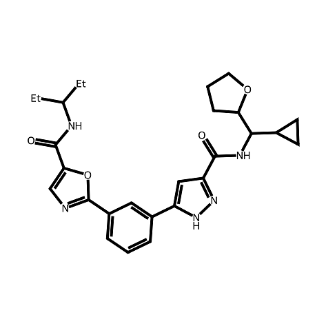 CCC(CC)NC(=O)c1cnc(-c2cccc(-c3cc(C(=O)NC(C4CC4)C4CCCO4)n[nH]3)c2)o1